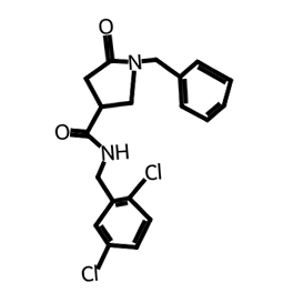 O=C(NCc1cc(Cl)ccc1Cl)C1CC(=O)N(Cc2ccccc2)C1